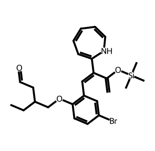 C=C(O[Si](C)(C)C)C(=Cc1cc(Br)ccc1OCC(CC)CC=O)C1=CC=CC=CN1